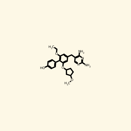 CCOc1cc(Cc2cnc(N)nc2N)cc(OC2CCC(OC)C2)c1-c1ccc(O)cc1